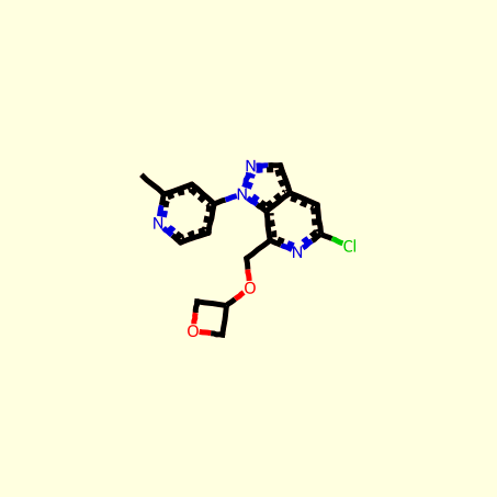 Cc1cc(-n2ncc3cc(Cl)nc(COC4COC4)c32)ccn1